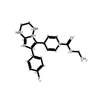 CCOC(=O)N1C=CC(c2c(-c3ccc(F)cc3)nc3n2NCCN3)C=C1